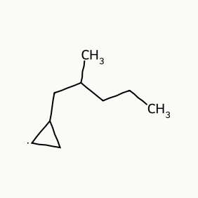 CCCC(C)CC1[CH]C1